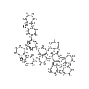 c1ccc(-c2cccc(-c3nc(-c4ccc5c(c4)oc4ccccc45)nc(-c4cccc5oc6ccc(-c7ccc(-c8ccc9c(c8)C8(c%10ccccc%10-c%10ccccc%108)c8ccccc8-9)cc7)cc6c45)n3)c2)cc1